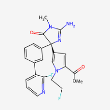 COC(=O)c1cc([C@]2(c3cccc(-c4cccnc4F)c3)N=C(N)N(C)C2=O)cn1CCF